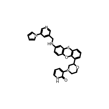 O=c1[nH]cccc1N1CCOC(c2cccc3c2Oc2ccc(NCc4cncc(-n5cccc5)c4)cc2S3)C1